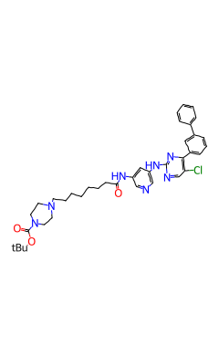 CC(C)(C)OC(=O)N1CCN(CCCCCCCC(=O)Nc2cncc(Nc3ncc(Cl)c(-c4cccc(-c5ccccc5)c4)n3)c2)CC1